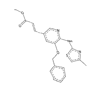 COC(=O)C=Cc1cnc(Nc2nc(C)cs2)c(OCc2ccccc2)c1